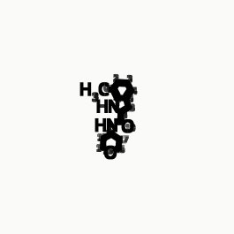 Cc1cccc2c1NC(C(=O)NC1CCOCC1)C2